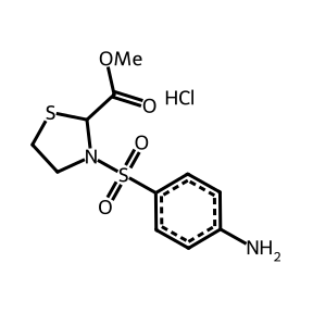 COC(=O)C1SCCN1S(=O)(=O)c1ccc(N)cc1.Cl